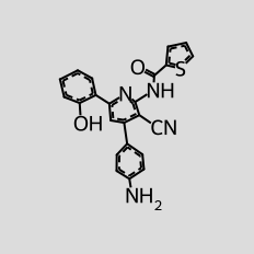 N#Cc1c(-c2ccc(N)cc2)cc(-c2ccccc2O)nc1NC(=O)c1cccs1